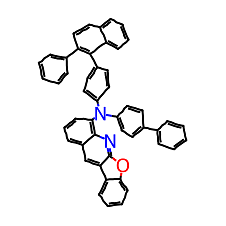 c1ccc(-c2ccc(N(c3ccc(-c4c(-c5ccccc5)ccc5ccccc45)cc3)c3cccc4cc5c(nc34)oc3ccccc35)cc2)cc1